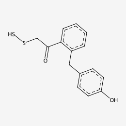 O=C(CSS)c1ccccc1Cc1ccc(O)cc1